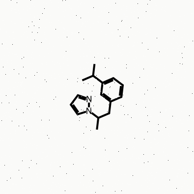 CC(C)c1cccc(CC(C)n2cccn2)c1